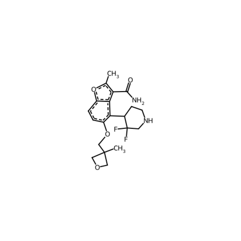 Cc1oc2ccc(OCC3(C)COC3)c(C3CCNCC3(F)F)c2c1C(N)=O